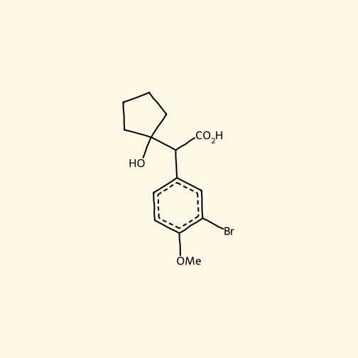 COc1ccc(C(C(=O)O)C2(O)CCCC2)cc1Br